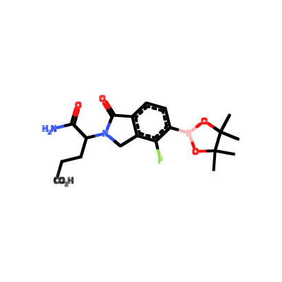 CC1(C)OB(c2ccc3c(c2F)CN(C(CCC(=O)O)C(N)=O)C3=O)OC1(C)C